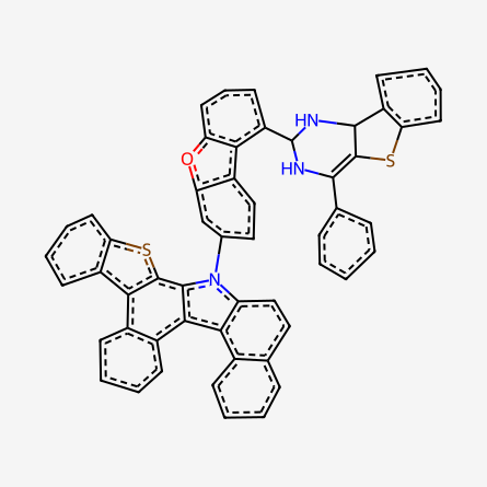 c1ccc(C2=C3Sc4ccccc4C3NC(c3cccc4oc5cc(-n6c7ccc8ccccc8c7c7c8ccccc8c8c9ccccc9sc8c76)ccc5c34)N2)cc1